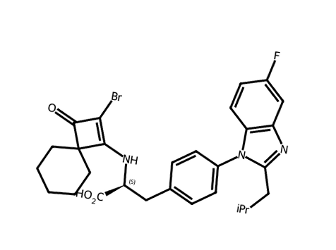 CC(C)Cc1nc2cc(F)ccc2n1-c1ccc(C[C@H](NC2=C(Br)C(=O)C23CCCCC3)C(=O)O)cc1